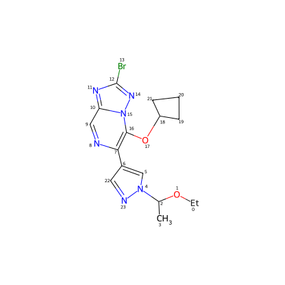 CCOC(C)n1cc(-c2ncc3nc(Br)nn3c2OC2CCC2)cn1